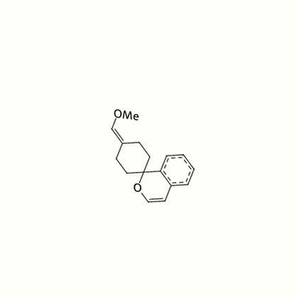 COC=C1CCC2(CC1)OC=Cc1ccccc12